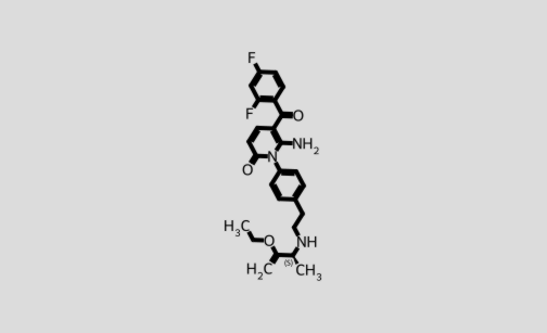 C=C(OCC)[C@H](C)NCCc1ccc(-n2c(N)c(C(=O)c3ccc(F)cc3F)ccc2=O)cc1